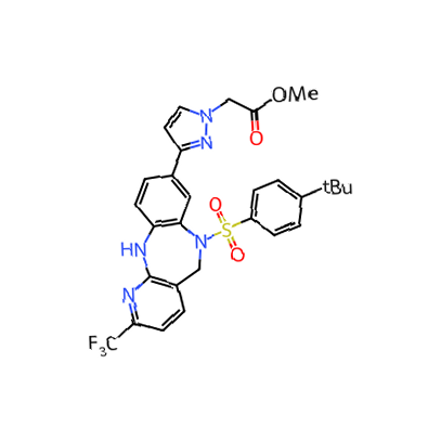 COC(=O)Cn1ccc(-c2ccc3c(c2)N(S(=O)(=O)c2ccc(C(C)(C)C)cc2)Cc2ccc(C(F)(F)F)nc2N3)n1